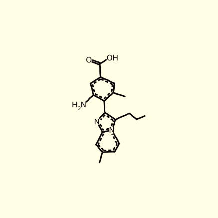 CCCc1c(-c2c(C)cc(C(=O)O)cc2N)nc2cc(C)ccn12